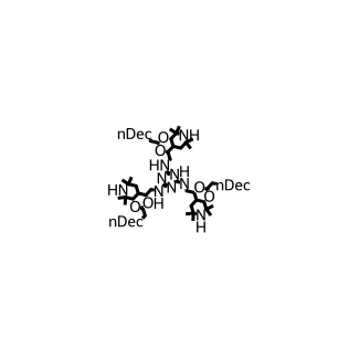 CCCCCCCCCCCC(=O)OC(CNc1nc(NCC(OC(=O)CCCCCCCCCCC)C2CC(C)(C)NC(C)(C)C2)nc(NCC(OC(=O)CCCCCCCCCCC)C2CC(C)(C)NC(C)(C)C2)n1)C1CC(C)(C)NC(C)(C)C1